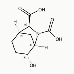 O=C(O)[C@@H]1[C@@H]2CC[C@@H](O)[C@@H](C2)N1C(=O)O